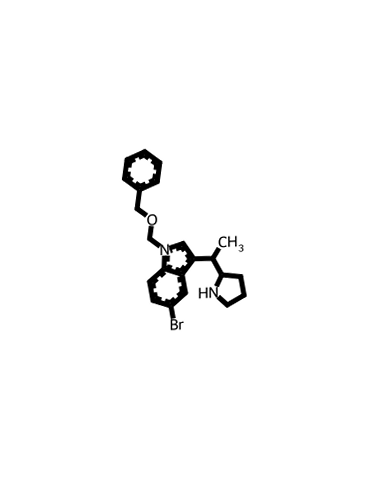 CC(c1cn(COCc2ccccc2)c2ccc(Br)cc12)C1CCCN1